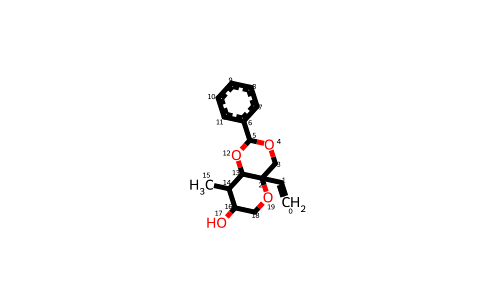 C=CC12COC(c3ccccc3)OC1C(C)C(O)CO2